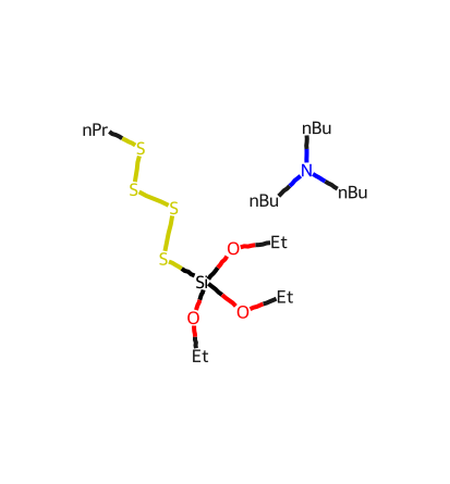 CCCCN(CCCC)CCCC.CCCSSSS[Si](OCC)(OCC)OCC